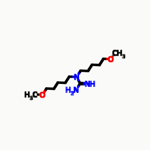 COCCCCCN(CCCCCOC)C(=N)N